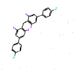 Fc1ccc(-c2cc(I)c(Cc3c(I)cc(-c4ccc(F)cc4)cc3I)c(I)c2)cc1